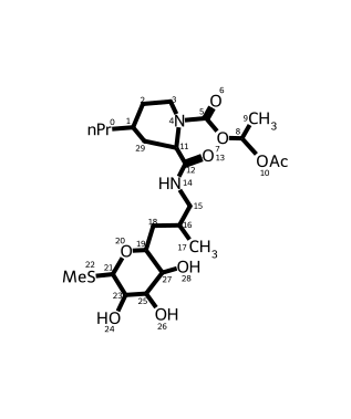 CCCC1CCN(C(=O)OC(C)OC(C)=O)C(C(=O)NCC(C)CC2OC(SC)C(O)C(O)C2O)C1